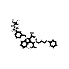 CC(O)C(NCCCOc1ccccc1)c1c(C(=O)O)n(Cc2cccc(S(=O)(=O)NC(F)(F)F)c2)c2ccccc12